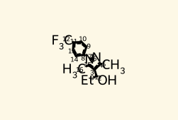 CCC(O)c1c(C)nn(-c2ccc(C(F)(F)F)cc2)c1C